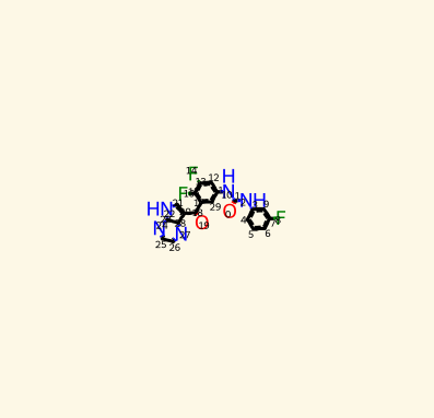 O=C(Nc1cccc(F)c1)Nc1cc(F)c(F)c(C(=O)C2=CNC3N=CC=NC23)c1